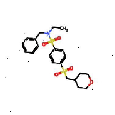 CCN(Cc1ccccc1)S(=O)(=O)c1ccc(S(=O)(=O)CC2CCOCC2)cc1